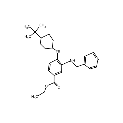 CCOC(=O)c1ccc(NC2CCC(C(C)(C)C)CC2)c(NCc2ccncc2)c1